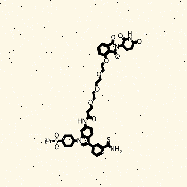 CC(C)S(=O)(=O)C1CCC(n2cc(-c3cccc(C(N)=S)c3)c3ccc(NC(=O)CCOCCOCCOCCOc4cccc5c4C(=O)N(C4CCC(=O)NC4=O)C5=O)cc32)CC1